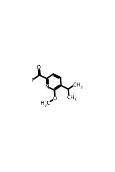 COc1nc(C(=O)I)ccc1C(C)C